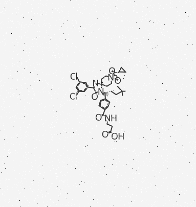 CC(C)(C)CC[C@H](c1ccc(C(=O)NCCC(=O)O)cc1)N1C(=O)C(c2cc(Cl)cc(Cl)c2)=NC12CCN(S(=O)(=O)C1CC1)CC2